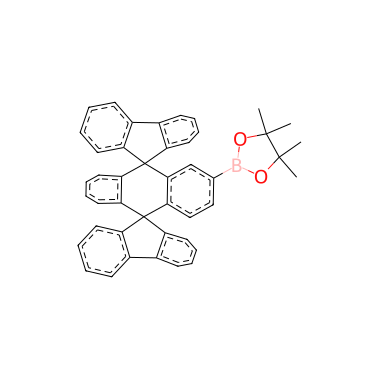 CC1(C)OB(c2ccc3c(c2)C2(c4ccccc4-c4ccccc42)c2ccccc2C32c3ccccc3-c3ccccc32)OC1(C)C